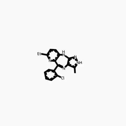 CCc1ccc2c(n1)C(c1ccccc1Cl)=Nc1c(n[nH]c1C)N2